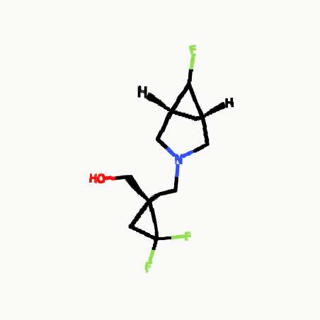 OC[C@]1(CN2C[C@@H]3C(F)[C@@H]3C2)CC1(F)F